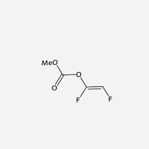 COC(=O)OC(F)=CF